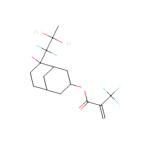 C=C(C(=O)OC1CC2CCC(O)(C(F)(F)C(C)(O)O)C(C2)C1)C(F)(F)F